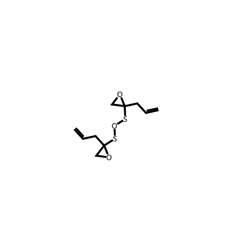 C=CCC1(SOSC2(CC=C)CO2)CO1